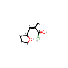 CC(=CC1CCCO1)C(=O)Cl